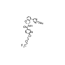 COc1ncc(-c2cccc3c2C[C@H](NC(=O)c2ccc(OCCOCC(F)(F)F)nc2)CO3)cn1